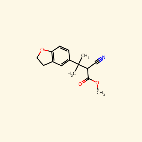 COC(=O)C(C#N)C(C)(C)c1ccc2c(c1)CCO2